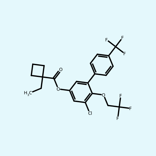 CCC1(C(=O)Oc2cc(Cl)c(OCC(F)(F)F)c(-c3ccc(C(F)(F)F)cc3)c2)CCC1